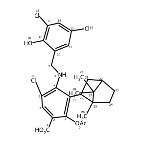 CC(=O)Oc1c(C(=O)O)cc(Cl)c(NCc2cc(Cl)cc(Cl)c2O)c1C1CC2CCC1(C)C2(C)C